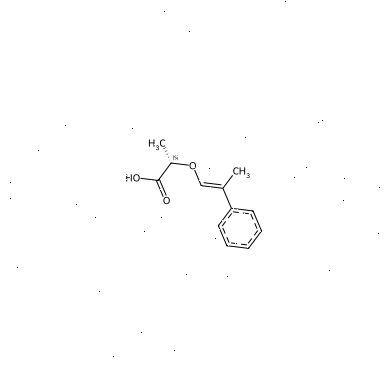 CC(=CO[C@@H](C)C(=O)O)c1ccccc1